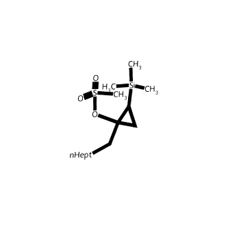 CCCCCCCCC1(OS(C)(=O)=O)CC1[Si](C)(C)C